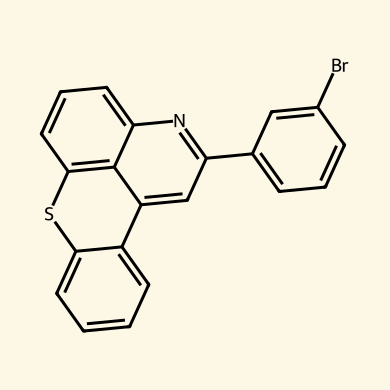 Brc1cccc(-c2cc3c4c(cccc4n2)Sc2ccccc2-3)c1